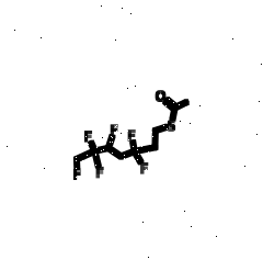 CC(=O)SCCC(F)(F)CC(F)C(F)(F)CF